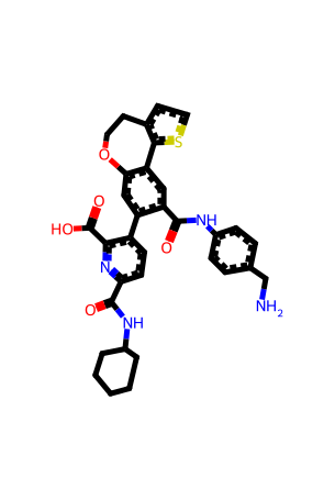 NCc1ccc(NC(=O)c2cc3c(cc2-c2ccc(C(=O)NC4CCCCC4)nc2C(=O)O)OCCc2ccsc2-3)cc1